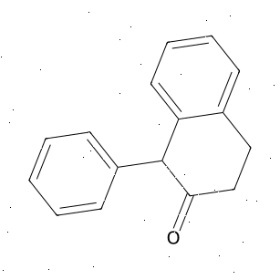 O=C1CCc2ccccc2C1c1ccccc1